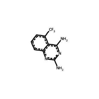 Nc1nc(N)c2c(C(F)(F)F)cccc2n1